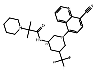 CC(C)(C(=O)N[C@@H]1CC(C(F)(F)F)CN(c2ccc(C#N)c3ncccc23)C1)N1CCCCC1